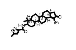 Cc1cc(C(=O)NC2CC[C@]3(C)[C@H]4CC[C@@H]5C6=C(C(C)C)C(=O)C[C@]6(C)CC[C@@]5(C)[C@]4(C)CC[C@H]3C2(C)C)no1